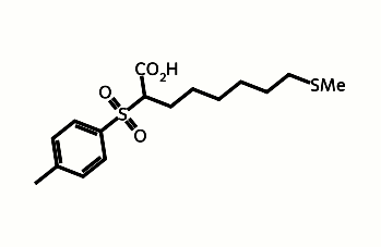 CSCCCCCCC(C(=O)O)S(=O)(=O)c1ccc(C)cc1